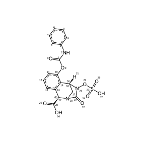 O=C(Nc1ccccc1)Oc1cccc2c1[C@H]1CN(C(=O)N1OS(=O)(=O)O)[C@H]2C(=O)O